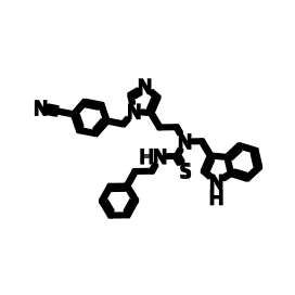 N#Cc1ccc(Cn2cncc2CCN(Cc2c[nH]c3ccccc23)C(=S)NCCc2ccccc2)cc1